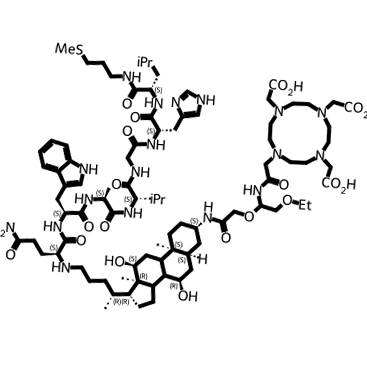 CCOCC(NC(=O)CN1CCN(CC(=O)O)CCN(CC(=O)O)CCN(CC(=O)O)CC1)OCC(=O)N[C@H]1CC[C@]2(C)C3C[C@H](O)[C@@]4(C)C(CC[C@@H]4[C@H](C)CCCN[C@@H](CCC(N)=O)C(=O)N[C@@H](Cc4c[nH]c5ccccc45)C(=O)N[C@@H](C)C(=O)N[C@H](C(=O)NCC(=O)N[C@@H](Cc4c[nH]cn4)C(=O)N[C@@H](CC(C)C)C(=O)NCCCSC)C(C)C)C3[C@H](O)C[C@@H]2C1